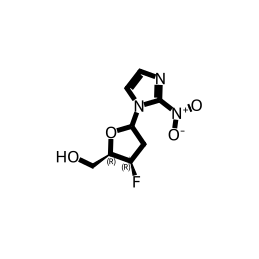 O=[N+]([O-])c1nccn1C1C[C@@H](F)[C@@H](CO)O1